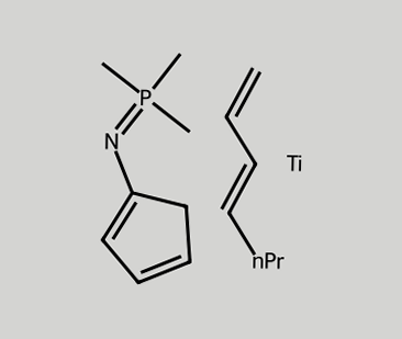 C=CC=CCCC.CP(C)(C)=NC1=CC=CC1.[Ti]